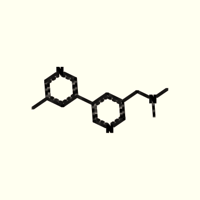 Cc1cncc(-c2cncc(CN(C)C)c2)c1